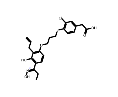 C=CCc1c(OCCCSc2ccc(CC(=O)O)cc2Cl)ccc(/C(CC)=N/O)c1O